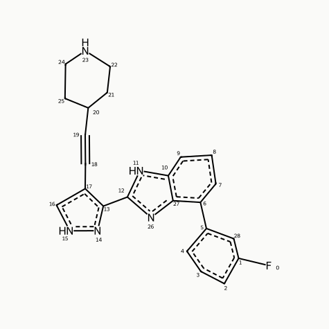 Fc1cccc(-c2cccc3[nH]c(-c4n[nH]cc4C#CC4CCNCC4)nc23)c1